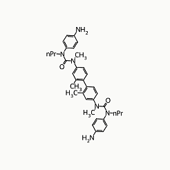 CCCN(C(=O)N(C)c1ccc(-c2ccc(N(C)C(=O)N(CCC)c3ccc(N)cc3)cc2C)c(C)c1)c1ccc(N)cc1